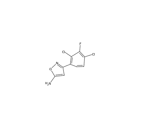 Nc1cc(-c2ccc(Cl)c(F)c2Cl)no1